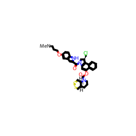 CNCCCOc1ccc2[nH]c(C(=O)N3C[C@@H](CCl)c4c3cc(OC(=O)N3CCC[C@@H]5CSSC[C@H]53)c3ccccc43)cc2c1